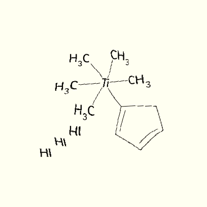 I.I.I.[CH3][Ti]([CH3])([CH3])([CH3])([CH3])[C]1=CC=CC1